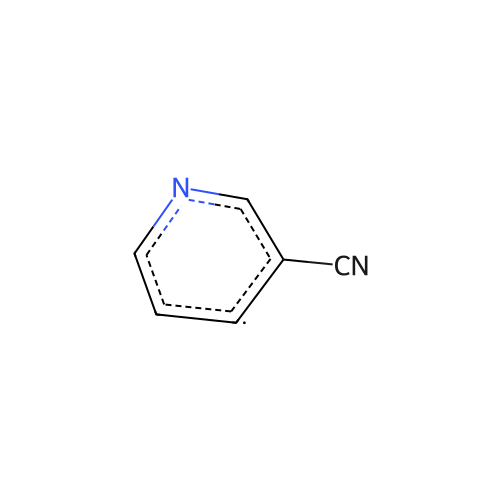 N#Cc1[c]ccnc1